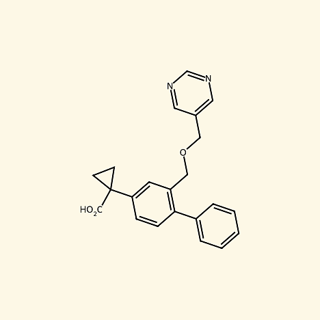 O=C(O)C1(c2ccc(-c3ccccc3)c(COCc3cncnc3)c2)CC1